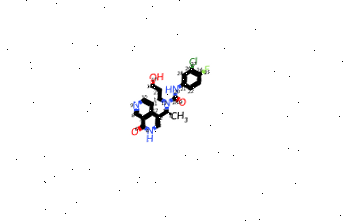 C[C@@H](c1c[nH]c(=O)c2cnccc12)N(CCCO)C(=O)Nc1ccc(F)c(Cl)c1